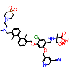 Cc1c(COc2cc(OCc3cncc(C#N)c3)c(CNC(C)(CO)C(=O)O)cc2Cl)cccc1-c1cccc(CN(C)CCN2CCS(=O)(=O)CC2)c1C